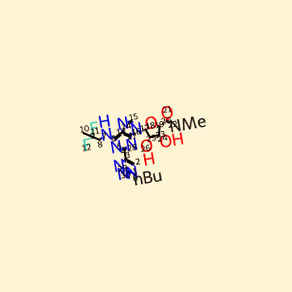 CCCCn1cc(-c2nc(NCC(C)(F)F)c3ncn([C@@H]4O[C@H](C(=O)NC)[C@@H](O)[C@H]4O)c3n2)nn1